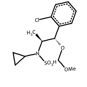 COCO[C@@H](c1ccccc1Cl)[C@H](C)N(C1CC1)S(=O)(=O)O